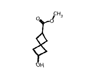 COC(=O)C1CC2(CC(O)C2)C1